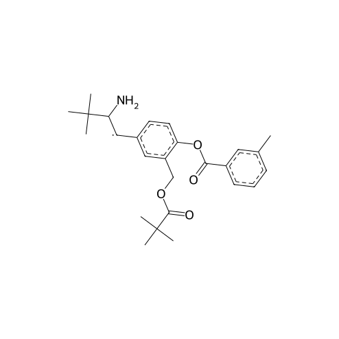 Cc1cccc(C(=O)Oc2ccc([CH]C(N)C(C)(C)C)cc2COC(=O)C(C)(C)C)c1